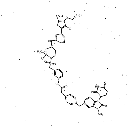 Cn1c(=O)n(C2CCC(=O)NC2=O)c2ccc(Cc3ccc(CC(=O)Nc4cccc(CS(=O)(=O)N5CC[C@H](Nc6cccc(-c7sc(C(=O)O)c(OCC(=O)O)c7Cl)c6)CC5(C)C)c4)cc3)cc21